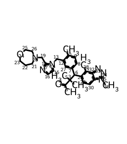 CC(=O)C(C)(C)C(c1ccc(C)c(Cn2ccnc2CN2CCCOCC2)c1)c1ccc2c(nnn2C)c1C